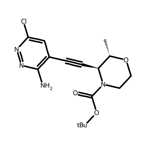 C[C@@H]1OCCN(C(=O)OC(C)(C)C)[C@H]1C#Cc1cc(Cl)nnc1N